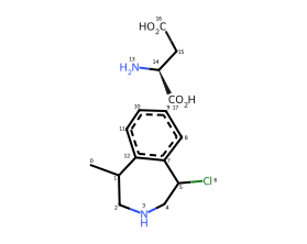 CC1CNCC(Cl)c2ccccc21.N[C@@H](CC(=O)O)C(=O)O